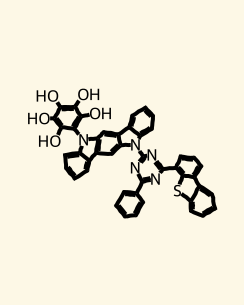 Oc1c(O)c(O)c(-n2c3ccccc3c3cc4c(cc32)c2ccccc2n4-c2nc(-c3ccccc3)nc(-c3cccc4c3sc3ccccc34)n2)c(O)c1O